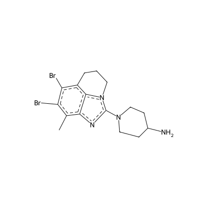 Cc1c(Br)c(Br)c2c3c1nc(N1CCC(N)CC1)n3CCC2